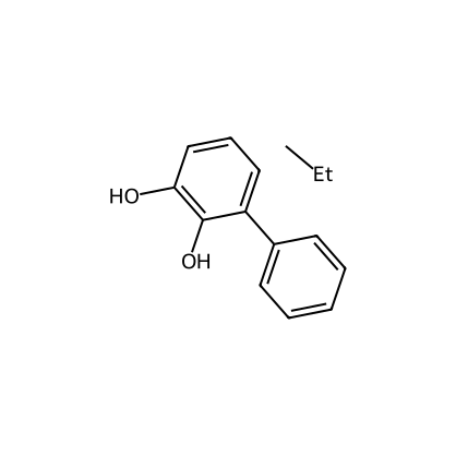 CCC.Oc1cccc(-c2ccccc2)c1O